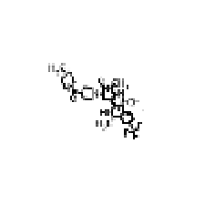 Cc1nc(N[C@H](C)c2cccc(C(F)(F)F)c2)c2cc(N3CCC(C(=O)N4CCN(C)CC4)CC3)c(=O)n(C)c2n1